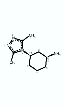 Cc1nnc(C(F)(F)F)n1[C@@H]1CCC[C@H](N)C1